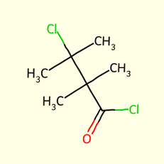 CC(C)(Cl)C(C)(C)C(=O)Cl